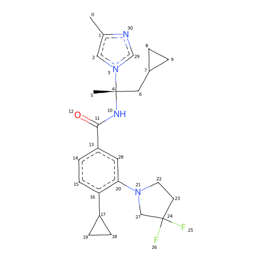 Cc1cn([C@](C)(CC2CC2)NC(=O)c2ccc(C3CC3)c(N3CCC(F)(F)C3)c2)cn1